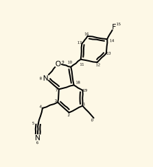 Cc1cc(CC#N)c2noc(-c3ccc(F)cc3)c2c1